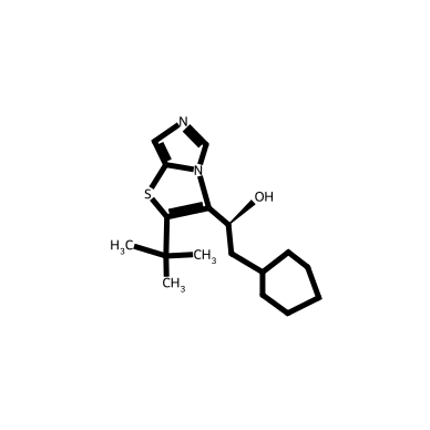 CC(C)(C)c1sc2cncn2c1[C@@H](O)CC1CCCCC1